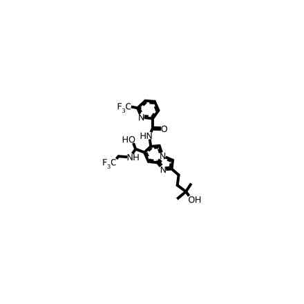 CC(C)(O)CCc1cn2cc(NC(=O)c3cccc(C(F)(F)F)n3)c(C(O)NCC(F)(F)F)cc2n1